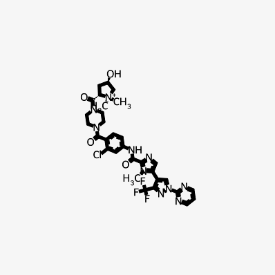 Cn1c(-c2cn(-c3ncccn3)nc2C(F)(F)F)cnc1C(=O)Nc1ccc(C(=O)N2CCN(C(=O)[C@@H]3C[C@@H](O)C[N+]3(C)C)CC2)c(Cl)c1